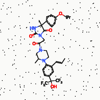 CC=Cc1cc(C(O)(C(F)(F)F)C(F)(F)F)ccc1N1CCN(C(=O)CN2C(=O)NC(C)(c3ccc(OC(C)C)cc3)C2=O)CC1C